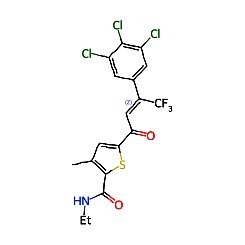 CCNC(=O)c1sc(C(=O)/C=C(/c2cc(Cl)c(Cl)c(Cl)c2)C(F)(F)F)cc1C